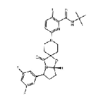 CC(C)(C)NC(=O)c1nc(N2CCC3(CC2)O[C@@H]2CC[C@@H](c4cc(F)cc(F)c4)N2C3=O)ncc1F